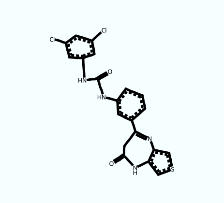 O=C1CC(c2cccc(NC(=O)Nc3cc(Cl)cc(Cl)c3)c2)=Nc2cscc2N1